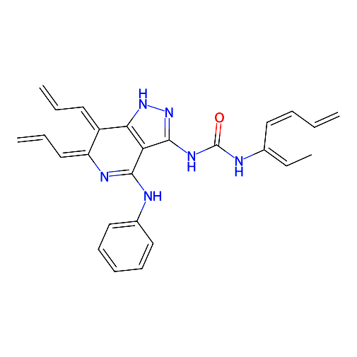 C=C/C=C\C(=C/C)NC(=O)Nc1n[nH]c2c(=C/C=C)/c(=C\C=C)nc(Nc3ccccc3)c12